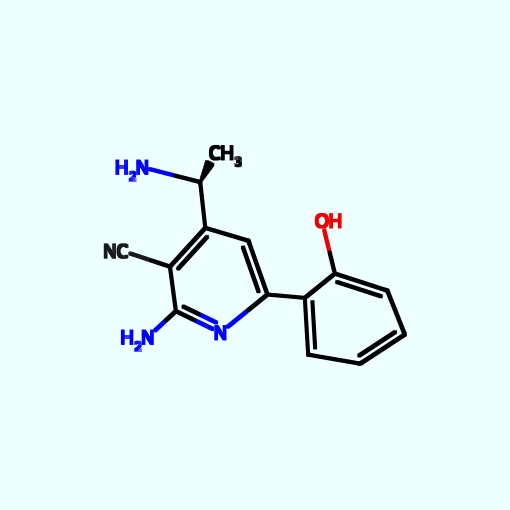 C[C@H](N)c1cc(-c2ccccc2O)nc(N)c1C#N